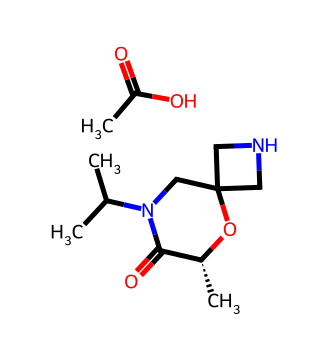 CC(=O)O.CC(C)N1CC2(CNC2)O[C@H](C)C1=O